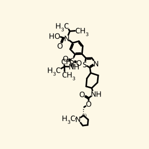 CC(C)N(C(=O)O)c1ccc(-c2cnc(C3CCC(NC(=O)OC[C@@H]4CCCN4C)CC3)s2)c(S(=O)(=O)NC(C)(C)C)c1